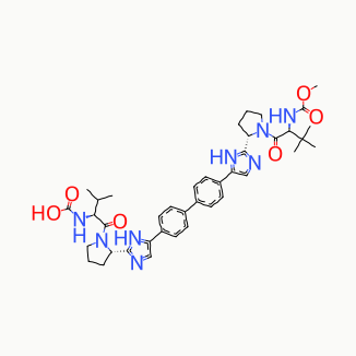 COC(=O)N[C@H](C(=O)N1CCC[C@H]1c1ncc(-c2ccc(-c3ccc(-c4cnc([C@@H]5CCCN5C(=O)[C@@H](NC(=O)O)C(C)C)[nH]4)cc3)cc2)[nH]1)C(C)(C)C